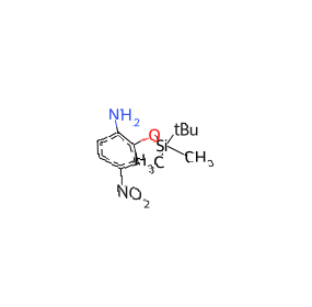 CC(C)(C)[Si](C)(C)Oc1cc([N+](=O)[O-])ccc1N